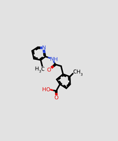 Cc1ccc(C(=O)O)cc1CC(=O)Nc1ncccc1C